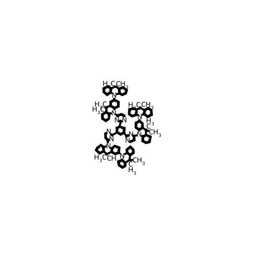 CC1(C)c2ccccc2N(c2ccc3c(c2)C(C)(C)c2ccccc2N3c2ccnc(-c3cc(-c4nccc(N5c6ccccc6C(C)(C)c6cc(N7c8ccccc8C(C)(C)c8ccccc87)ccc65)n4)cc(-c4nccc(N5c6ccccc6C(C)(C)c6cc(N7c8ccccc8C(C)(C)c8ccccc87)ccc65)n4)c3)n2)c2ccccc21